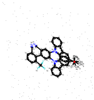 CC(C)(C)c1ccc2c(c1)c1ccccc1n2-c1cc(C#N)c(-c2c(C#N)cccc2C(F)(F)F)cc1-n1c2ccccc2c2cc(C(C)(C)C)ccc21